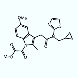 COC(=O)C(=O)n1c(C)c(CC(=O)N(CC2CC2)c2nccs2)c2cc(OC)ccc21